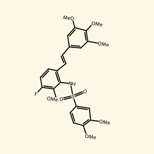 COc1ccc(S(=O)(=O)Nc2c(C=Cc3cc(OC)c(OC)c(OC)c3)ccc(F)c2OC)cc1OC